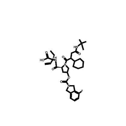 C=C[C@@](CC)(NC(=O)[C@@H]1CC(OC(=O)N2Cc3cccc(F)c3C2)CN1C(=O)C(CC(=O)NC(C)(C)C)C1CCCCC1)C(=O)O